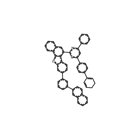 C1=CC(c2ccc(-c3cc(-c4ccccc4)nc(-c4cc5ccccc5c5oc6cc(-c7cccc(-c8ccc9ccccc9c8)c7)ccc6c45)n3)cc2)=CCC1